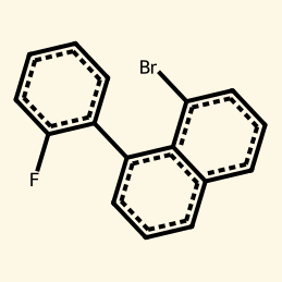 Fc1ccccc1-c1cccc2cccc(Br)c12